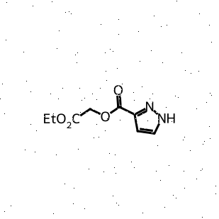 CCOC(=O)COC(=O)c1cc[nH]n1